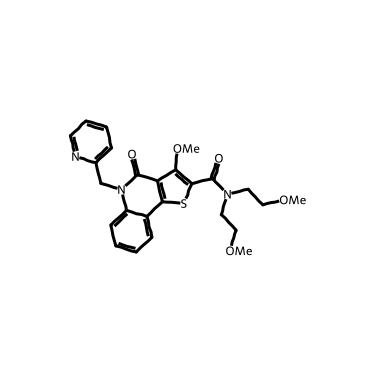 COCCN(CCOC)C(=O)c1sc2c(c1OC)c(=O)n(Cc1ccccn1)c1ccccc21